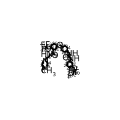 CN1CCN(CCNC(=O)c2cc(OC3CCC(NC(=O)Nc4cccc(OC(F)(F)CF)c4)CC3)ccc2OC(F)(F)F)CC1